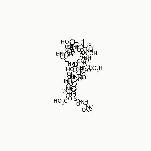 CC[C@H](C)[C@H](NC(=O)[C@H](CO)NC(=O)[C@H](Cc1ccc(O)cc1)NC(=O)[C@H](CC(=O)O)NC(=O)[C@H](CO)NC(=O)[C@@H](NC(=O)[C@H](Cc1ccccc1)NC(=O)[C@@H](NC(=O)CNC(=O)[C@H](CCC(=O)O)NC(=O)CSCC(=O)NCCN1C(=O)CCN1C)[C@@H](C)O)[C@@H](C)O)C(=O)N[C@@H](Cc1ccc(O)cc1)C(=O)N[C@@H](CC(C)C)C(=O)N[C@@H](CC(=O)O)C(=O)N[C@H](C)CCCCN